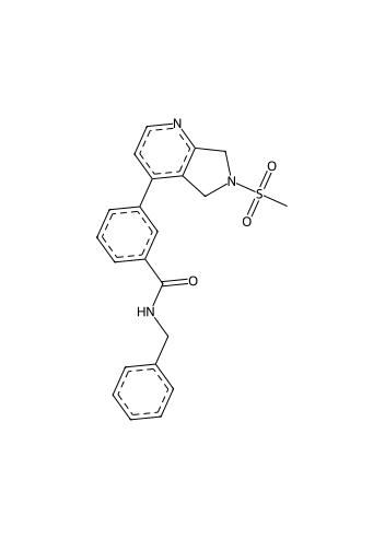 CS(=O)(=O)N1Cc2nccc(-c3cccc(C(=O)NCc4ccccc4)c3)c2C1